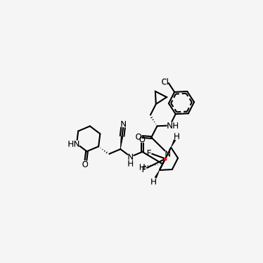 N#C[C@H](C[C@H]1CCCNC1=O)NC(=O)[C@@H]1[C@H]2CC[C@H](CC2(F)F)N1C(=O)[C@H](CC1CC1)Nc1cccc(Cl)c1